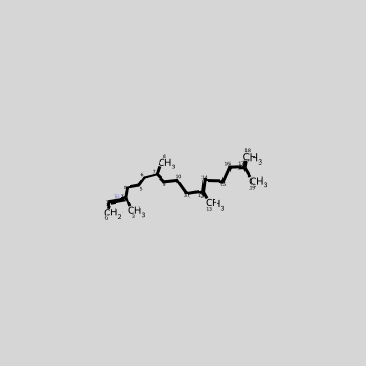 [CH2]/C=C(\C)CCCC(C)CCCC(C)CCCC(C)C